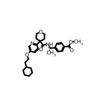 COC(=O)c1ccc([C@H](C)NC(=O)C2(c3ccc(OCCC4CCCCC4)cn3)CCOCC2)cc1